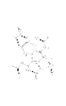 CC(=O)OCC1O[C@H](Sc2cc(Br)ccc2Cl)C(OC(C)=O)C(N=[N+]=[N-])[C@H]1OC(C)=O